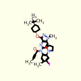 CC#CC(=O)N(c1ccc2c(n1)c(O[C@H]1CC[C@H](C(C)(C)C)CC1)nn2C)c1cc(C)c(I)cc1N1CCCC1